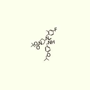 C=C(NCc1ccc(OCC(C)C)cc1)N(Cc1ccc(F)cc1C)C1CCN(C(=O)OC(C)(C)C)CC1